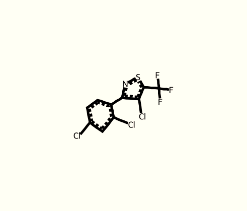 FC(F)(F)c1snc(-c2ccc(Cl)cc2Cl)c1Cl